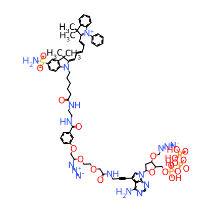 CC1(C)C(/C=C/C=C/C=C2/N(CCCCCC(=O)NCCNC(=O)c3cccc(OCC(N=[N+]=[N-])OCCOCC(=O)NCC#Cc4cn(C5CC(OCN=[N+]=[N-])C(COP(=O)(O)OP(=O)(O)OP(=O)(O)O)O5)c5ncnc(N)c45)c3)c3ccc(S(N)(=O)=O)cc3C2(C)C)=[N+](c2ccccc2)c2ccccc21